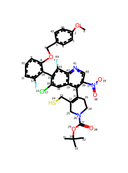 COc1ccc(COc2cccc(F)c2-c2c(Cl)cc3c(C4=C(CS)CN(C(=O)OC(C)(C)C)CC4)c([N+](=O)[O-])cnc3c2F)cc1